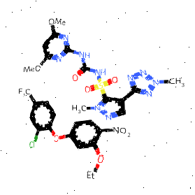 CCOc1cc(Oc2ccc(C(F)(F)F)cc2Cl)ccc1[N+](=O)[O-].COc1cc(OC)nc(NC(=O)NS(=O)(=O)c2c(-c3nnn(C)n3)cnn2C)n1